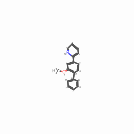 COc1cc(-c2ccccn2)ccc1-c1ccccc1